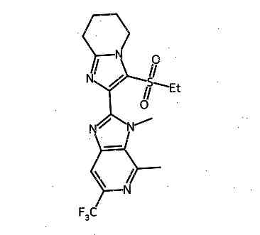 CCS(=O)(=O)c1c(-c2nc3cc(C(F)(F)F)nc(C)c3n2C)nc2n1CCCC2